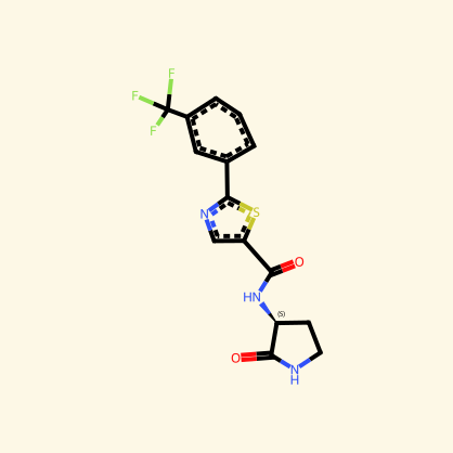 O=C(N[C@H]1CCNC1=O)c1cnc(-c2cccc(C(F)(F)F)c2)s1